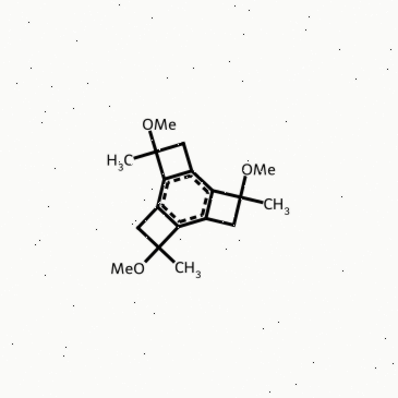 COC1(C)Cc2c1c1c(c3c2C(C)(OC)C3)C(C)(OC)C1